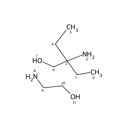 CCC(N)(CC)CO.NCCO